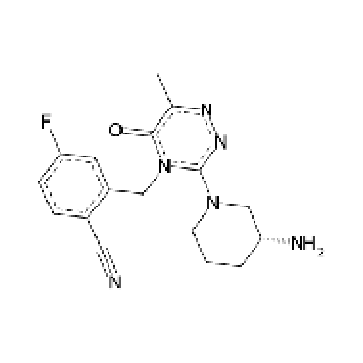 Cc1nnc(N2CCC[C@@H](N)C2)n(Cc2cc(F)ccc2C#N)c1=O